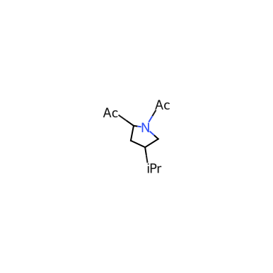 CC(=O)C1CC(C(C)C)CN1C(C)=O